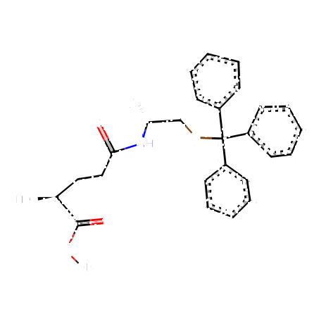 CCCCOC(=O)[C@@H](C)CCC(=O)N[C@@H](CSC(c1ccccc1)(c1ccccc1)c1ccccc1)C(=O)O